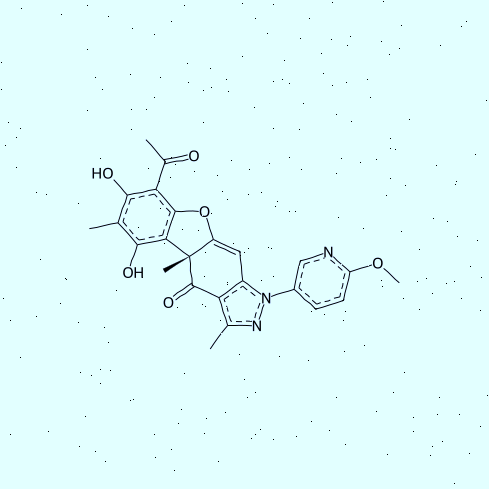 COc1ccc(-n2nc(C)c3c2C=C2Oc4c(C(C)=O)c(O)c(C)c(O)c4[C@@]2(C)C3=O)cn1